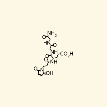 NC(=O)CNC(=O)CNC(=O)C(CCC(=O)O)NC(=O)CCN1C(=O)C=C[C@H]1O